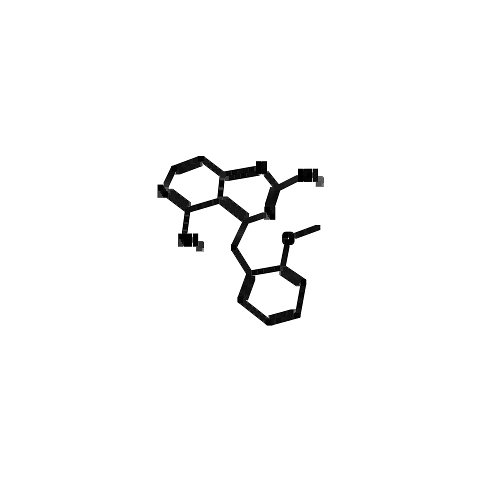 COc1ccccc1Cc1nc(N)nc2ccnc(N)c12